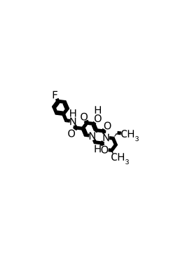 CC[C@@H]1C[C@H](C)O[C@H]2Cn3cc(C(=O)NCc4ccc(F)cc4)c(=O)c(O)c3C(=O)N12